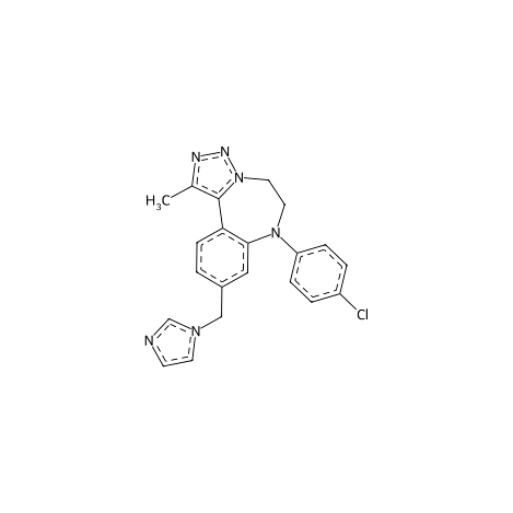 Cc1nnn2c1-c1ccc(Cn3ccnc3)cc1N(c1ccc(Cl)cc1)CC2